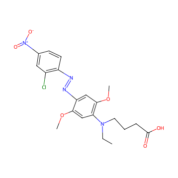 CCN(CCCC(=O)O)c1cc(OC)c(/N=N/c2ccc([N+](=O)[O-])cc2Cl)cc1OC